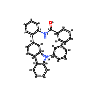 O=C(Nc1ccccc1-c1ccc2c3ccccc3n(-c3ccccc3)c2c1)c1ccccc1